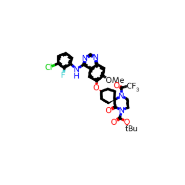 COc1cc2ncnc(Nc3cccc(Cl)c3F)c2cc1O[C@H]1CC[C@]2(CC1)C(=O)N(C(=O)OC(C)(C)C)CCN2C(=O)C(F)(F)F